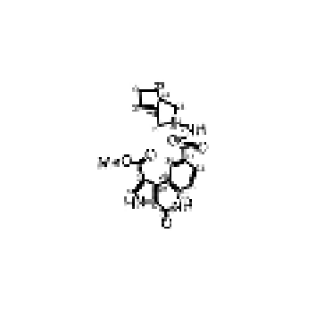 COC(=O)c1c[nH]c2c(=O)[nH]c3ccc(S(=O)(=O)NN4CC5=CCCC5C4)cc3c12